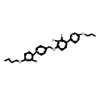 CCCCOc1ccc(-c2ccc(COc3ccc(-c4ccc(OCCC)cc4)c(F)c3F)cc2)c(F)c1